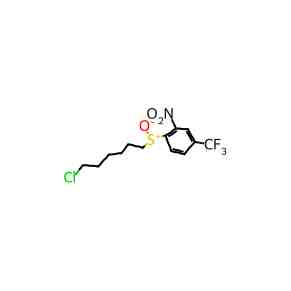 O=[N+]([O-])c1cc(C(F)(F)F)ccc1[S+]([O-])CCCCCCCl